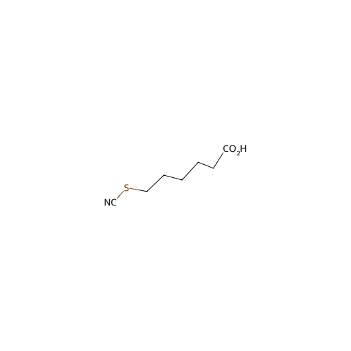 N#CSCCCCCC(=O)O